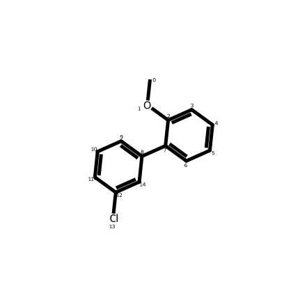 COc1ccccc1-c1cc[c]c(Cl)c1